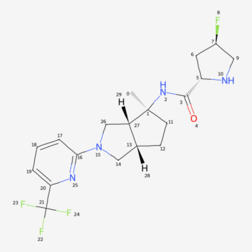 C[C@]1(NC(=O)[C@@H]2C[C@@H](F)CN2)CC[C@@H]2CN(c3cccc(C(F)(F)F)n3)C[C@@H]21